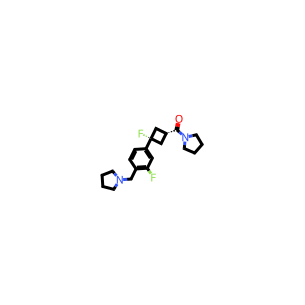 O=C([C@H]1C[C@](F)(c2ccc(CN3CCCC3)c(F)c2)C1)N1CCCC1